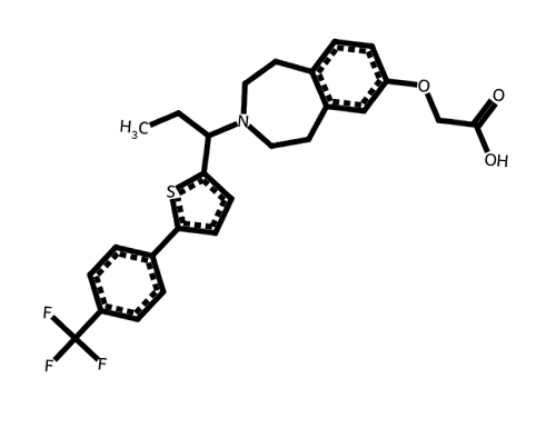 CCC(c1ccc(-c2ccc(C(F)(F)F)cc2)s1)N1CCc2ccc(OCC(=O)O)cc2CC1